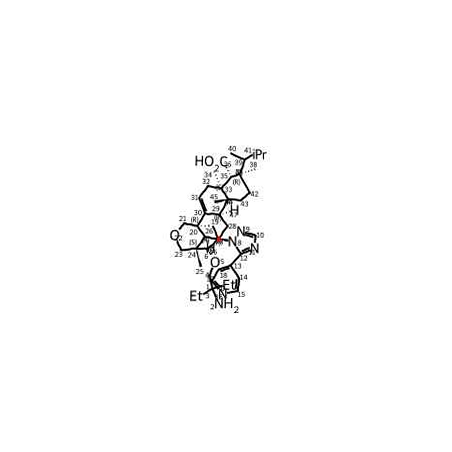 CCC(N)(CC)CO[C@H]1[C@H](n2ncnc2-c2ccncc2)C[C@@]23COC[C@]1(C)[C@@H]2CC[C@H]1C3=CC[C@@]2(C)[C@H](C(=O)O)[C@@](C)(C(C)C(C)C)CC[C@]12C